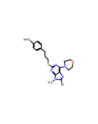 CCc1nc2c(N3CCOCC3)nc(SCCCc3ccc(OC)cc3)nc2n1C